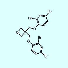 Brc1ccc(OCC2(COc3ccc(Br)cc3Br)COC2)c(Br)c1